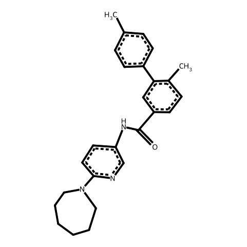 Cc1ccc(-c2cc(C(=O)Nc3ccc(N4CCCCCC4)nc3)ccc2C)cc1